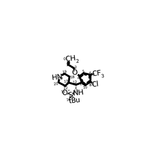 C=CCOc1cc(C(F)(F)F)c(Cl)cc1[C@H](N[S+]([O-])C(C)(C)C)C1CCNCC1